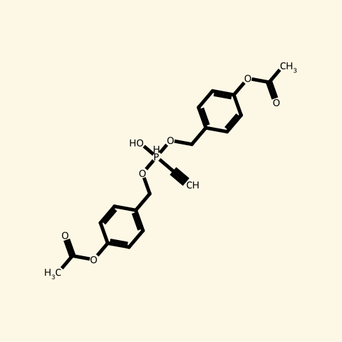 C#C[PH](O)(OCc1ccc(OC(C)=O)cc1)OCc1ccc(OC(C)=O)cc1